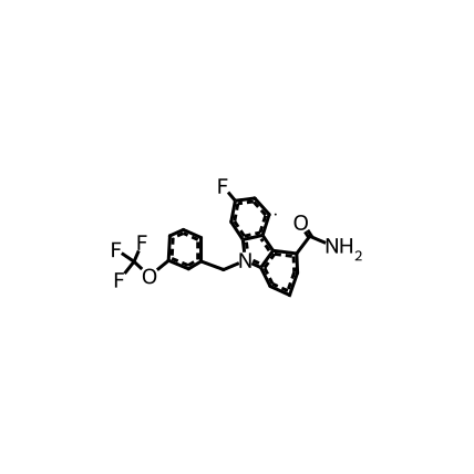 NC(=O)c1cccc2c1c1[c]cc(F)cc1n2Cc1cccc(OC(F)(F)F)c1